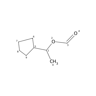 CC(OC=O)C1CCCC1